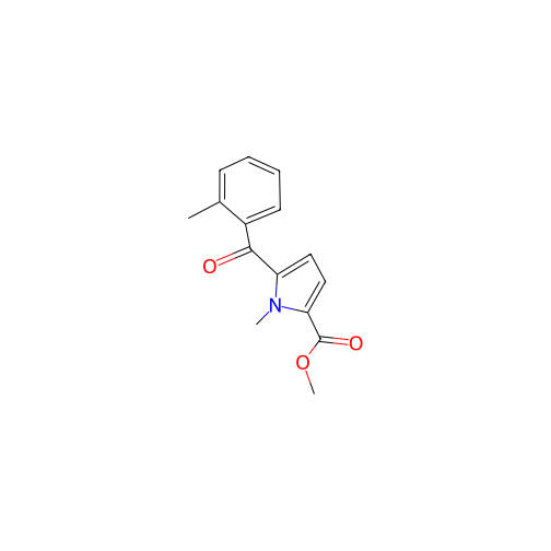 COC(=O)c1ccc(C(=O)c2ccccc2C)n1C